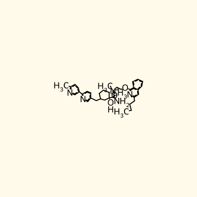 CCCCc1cc2ccccc2c(OCC[N+](C)(C)[C@H]2CCC(Cc3ccc(-c4ccc(C)nc4)nc3)C[C@@]2(O)C(N)=O)n1